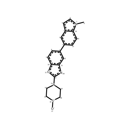 Cn1ccc2cc(-c3ccc4oc(N5CC[S+]([O-])CC5)nc4c3)ccc21